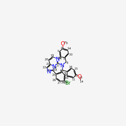 COc1ccc(CN(Cc2ccc(OC)cc2)c2nccc3cnc(-c4ccc(Br)cc4)n23)cc1